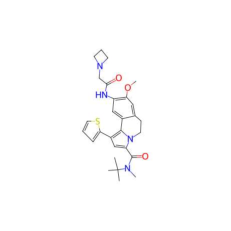 COc1cc2c(cc1NC(=O)CN1CCC1)-c1c(-c3cccs3)cc(C(=O)N(C)C(C)(C)C)n1CC2